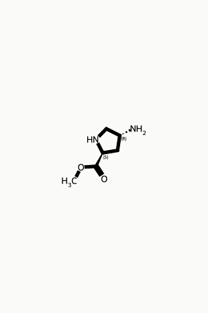 COC(=O)[C@@H]1C[C@@H](N)CN1